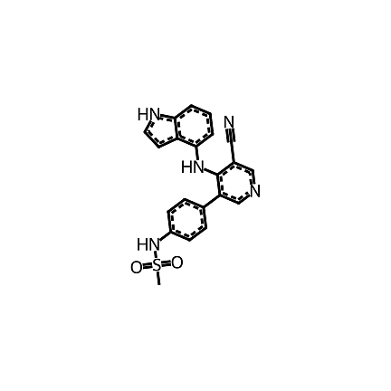 CS(=O)(=O)Nc1ccc(-c2cncc(C#N)c2Nc2cccc3[nH]ccc23)cc1